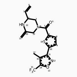 C=CC1CN(C(=O)c2ccc(-c3noc(C(F)(F)F)c3C)s2)CC(=C)N1